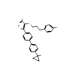 Cc1noc(-c2ccc(-c3ccc(C4(C(=O)O)CC4)cc3)cc2)c1N(C)CCCc1ccc(Cl)cc1